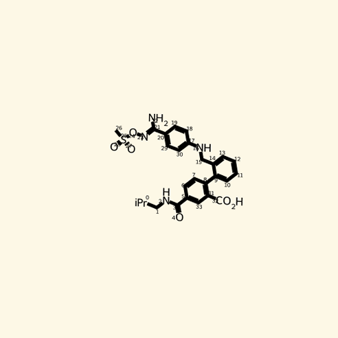 CC(C)CNC(=O)c1ccc(-c2ccccc2CNc2ccc(C(N)=NOS(C)(=O)=O)cc2)c(C(=O)O)c1